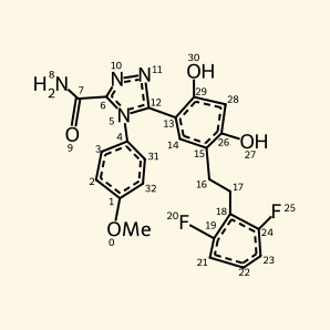 COc1ccc(-n2c(C(N)=O)nnc2-c2cc(CCc3c(F)cccc3F)c(O)cc2O)cc1